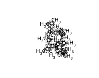 Cc1cc(C)c(-c2ccc3c4ccc(-c5c(C)cc(CCc6cc(C)cc(C)c6-c6ccc7c8ccc(-c9c(C)cc(C)cc9C)cc8n(-c8ccc(C#N)c(-c9nc(C)nc(C)n9)c8)c7c6)cc5C)cc4n(-c4ccc(-c5nc(C)nc(C)n5)c(C#N)c4)c3c2)c(C)c1